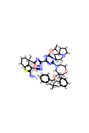 CC(Oc1nc(-c2noc([C@@]3(C)CCCc4sc(N)c(C#N)c43)n2)nc(N2CCOCC(C)(O[Si](c3ccccc3)(c3ccccc3)C(C)(C)C)C2)n1)[C@@]12CCCN1C[C@H](F)C2